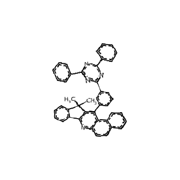 CC1(C)c2ccccc2-c2nc3ccc4ccccc4c3c(-c3cccc(-c4nc(-c5ccccc5)nc(-c5ccccc5)n4)c3)c21